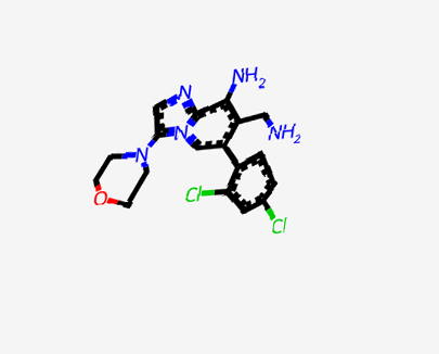 NCc1c(-c2ccc(Cl)cc2Cl)cn2c(N3CCOCC3)cnc2c1N